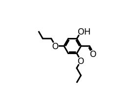 CCCOc1cc(O)c(C=O)c(OCCC)c1